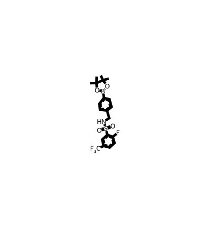 CC1(C)OB(c2ccc(CNS(=O)(=O)c3cc(C(F)(F)F)ccc3F)cc2)OC1(C)C